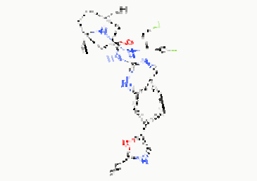 Cc1ncc(-c2ccc3cnc(NC(=O)N4[C@@H]5CC[C@H]4C[C@H](NC(CF)CF)C5)nc3c2)o1